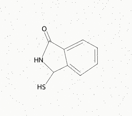 O=C1NC(S)c2ccccc21